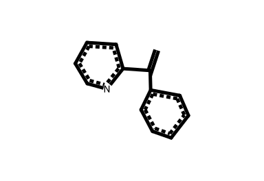 C=C(c1ccccc1)c1ccccn1